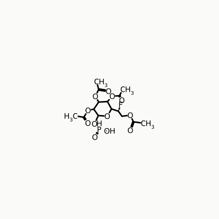 CC(=O)OC[C@H](F)C1OC(O[PH](=O)O)C(OC(C)=O)C(OC(C)=O)C1OC(C)=O